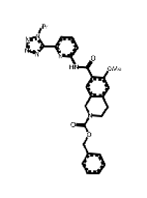 COc1cc2c(cc1C(=O)Nc1cccc(-c3nnnn3C(C)C)n1)CN(C(=O)OCc1ccccc1)CC2